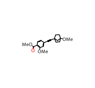 COC(=O)c1ccc(C#CC23CCC(OC)(CC2)C3)cc1OC